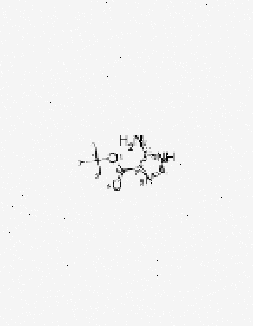 CC(C)(C)OC(=O)c1nc[nH]c1N